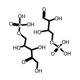 O=C(CO)C(O)C(O)COP(=O)(O)O.O=CC(O)C(O)COP(=O)(O)O